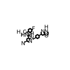 C[C@H](NC(=O)c1cc(C#N)cnc1NCc1ccc(-c2cnc3c(c2)OCCN3)cc1)c1ccc(F)cc1